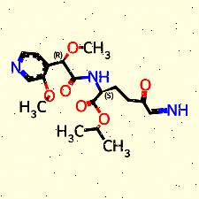 COc1cnccc1[C@@H](OC)C(=O)N[C@@H](CCC(=O)C=N)C(=O)OC(C)C